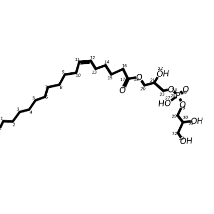 CCCCCCCCCCC/C=C\CCCCC(=O)OCC(O)COP(=O)(O)OCC(O)CO